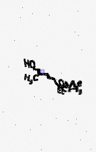 CCC(C)(CCCC/C(C)=C/CO)OC